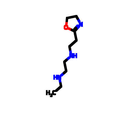 CCNCCNCCC1=NCCO1